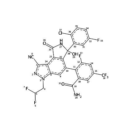 N#Cc1nn(CC(F)F)c2cc(-c3c(F)cc(C(F)(F)F)cc3C(N)=O)c3c(c12)C(=O)NC3(O)c1cc(F)ccc1Cl